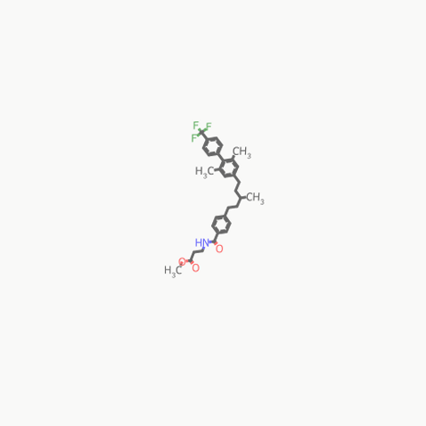 COC(=O)CCNC(=O)c1ccc(CCC(C)CCc2cc(C)c(-c3ccc(C(F)(F)F)cc3)c(C)c2)cc1